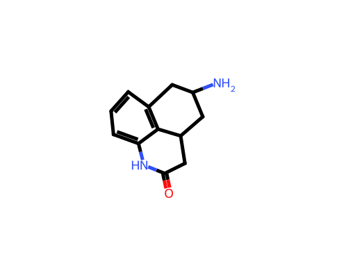 NC1Cc2cccc3c2C(CC(=O)N3)C1